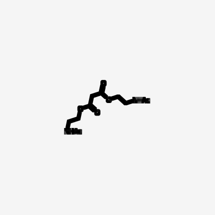 CC(=O)NCCOC(=O)CC(=O)OCCNC(C)=O